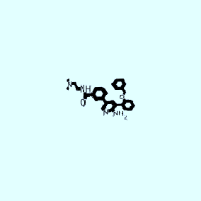 CN(C)CCNC(=O)c1cccc(-c2cnc(N)c(-c3ccccc3OCc3ccccc3)c2)c1